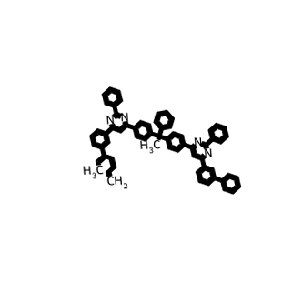 C=C/C=C\C(=C/C)c1cccc(-c2cc(-c3ccc(C(C)(c4ccccc4)c4ccc(-c5cc(-c6cccc(-c7ccccc7)c6)nc(-c6ccccc6)n5)cc4)cc3)nc(-c3ccccc3)n2)c1